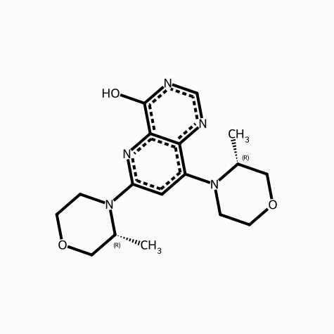 C[C@@H]1COCCN1c1cc(N2CCOC[C@H]2C)c2ncnc(O)c2n1